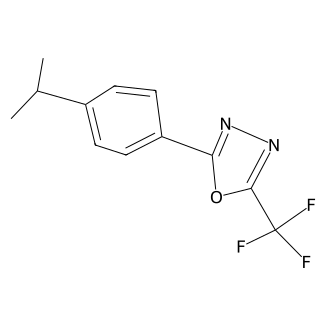 CC(C)c1ccc(-c2nnc(C(F)(F)F)o2)cc1